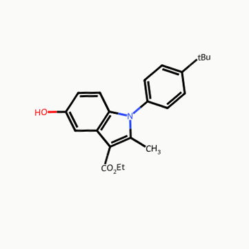 CCOC(=O)c1c(C)n(-c2ccc(C(C)(C)C)cc2)c2ccc(O)cc12